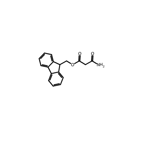 NC(=O)CC(=O)OCC1c2ccccc2-c2ccccc21